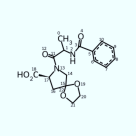 CC(NC(=O)c1ccccc1)C(=O)N1CC2(C[C@H]1C(=O)O)OCCO2